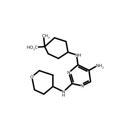 CC1(C(=O)O)CCC(Nc2nc(NC3CCOCC3)ncc2N)CC1